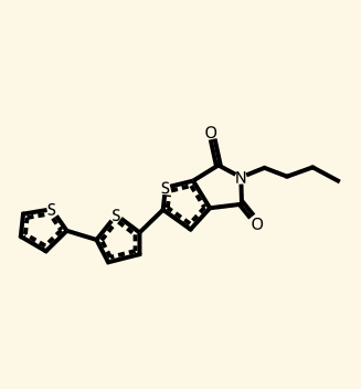 CCCCN1C(=O)c2cc(-c3ccc(-c4cccs4)s3)sc2C1=O